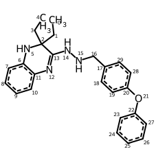 CCC1(CC)Nc2ccccc2N=C1NNCc1ccc(Oc2ccccc2)cc1